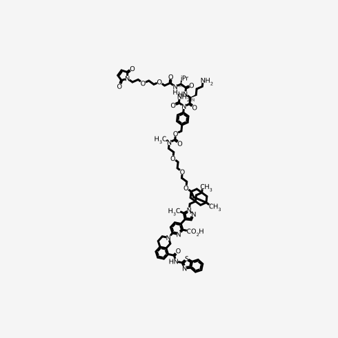 Cc1c(-c2ccc(N3CCc4cccc(C(=O)Nc5nc6ccccc6s5)c4C3)nc2C(=O)O)cnn1CC12CC3(C)CC(C)(C1)CC(OCCOCCOCCN(C)C(=O)OCc1ccc(N(C(N)=O)C(=O)[C@H](CCCN)NC(=O)[C@@H](NC(=O)COCCOCCN4C(=O)C=CC4=O)C(C)C)cc1)(C3)C2